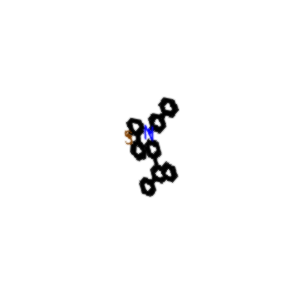 c1ccc(-c2ccc(N(c3ccc(-c4cc(-c5ccccc5)cc5ccccc45)cc3)c3cccc4sc5ccccc5c34)cc2)cc1